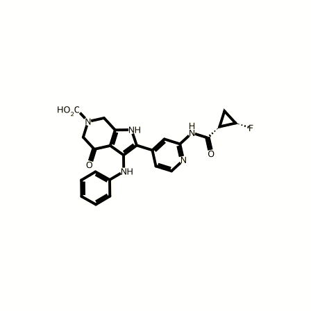 O=C1CN(C(=O)O)Cc2[nH]c(-c3ccnc(NC(=O)[C@@H]4C[C@@H]4F)c3)c(Nc3ccccc3)c21